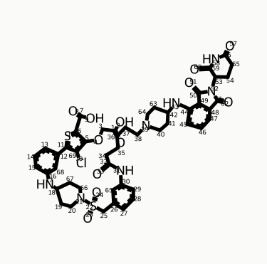 O=C(O)COc1c(C(=O)O)sc(-c2cccc(NC3CCN(S(=O)(=O)Cc4cccc(NC(=O)CCCCCN5CCC(Nc6cccc7c6C(=O)N(C6CCC(=O)NC6=O)C7=O)CC5)c4)CC3)c2)c1Cl